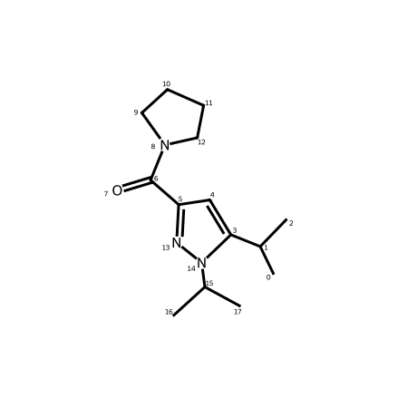 CC(C)c1cc(C(=O)N2CCCC2)nn1C(C)C